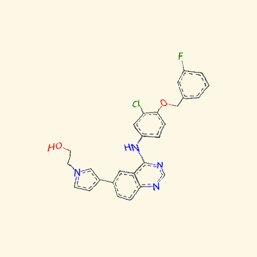 OCCn1ccc(-c2ccc3ncnc(Nc4ccc(OCc5cccc(F)c5)c(Cl)c4)c3c2)c1